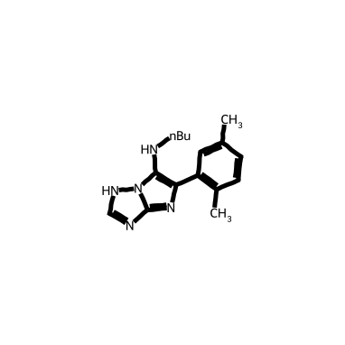 CCCCNc1c(-c2cc(C)ccc2C)nc2nc[nH]n12